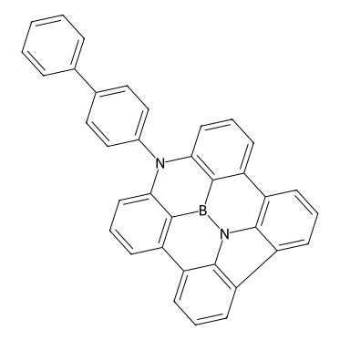 c1ccc(-c2ccc(N3c4cccc5c4B4c6c(cccc63)-c3cccc6c7cccc-5c7n4c36)cc2)cc1